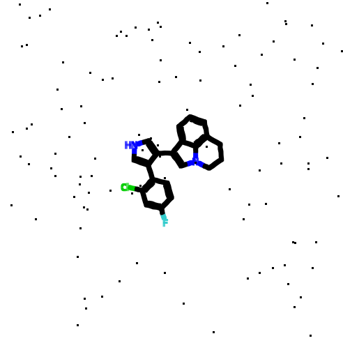 Fc1ccc(-c2c[nH]cc2-c2cn3c4c(cccc24)CCC3)c(Cl)c1